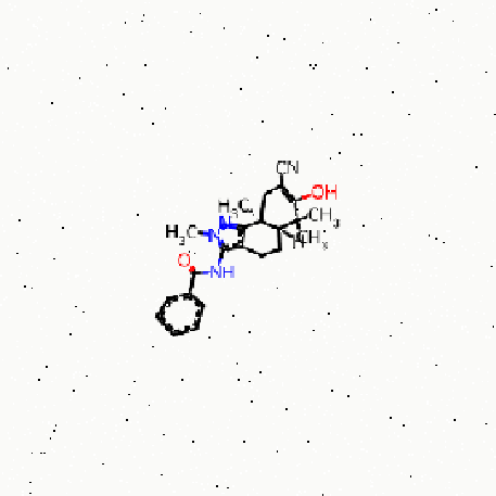 Cn1nc2c(c1NC(=O)c1ccccc1)CC[C@H]1C(C)(C)C(O)=C(C#N)C[C@]21C